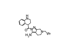 CC(C)CN1CCc2c(nn(C(=O)C3CCNc4ccccc43)c2N)C1